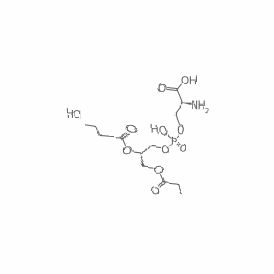 CCCC(=O)O[C@H](COC(=O)CC)COP(=O)(O)OC[C@H](N)C(=O)O.Cl